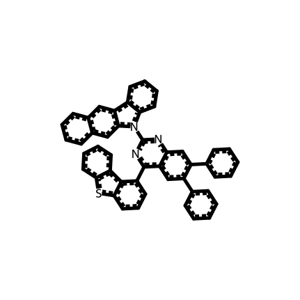 c1ccc(-c2cc3nc(-n4c5ccccc5c5cc6ccccc6cc54)nc(-c4cccc5sc6ccccc6c45)c3cc2-c2ccccc2)cc1